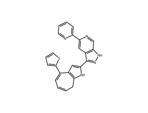 C1=CCc2[nH]c(-c3n[nH]c4cnc(-c5ccccn5)cc34)cc2C(c2cccs2)=C1